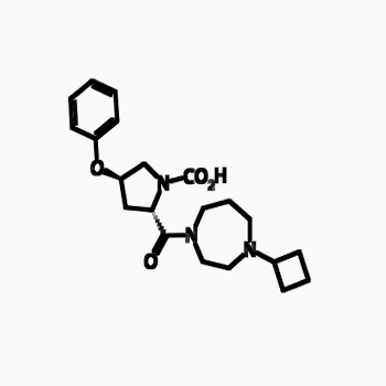 O=C([C@@H]1C[C@@H](Oc2ccccc2)CN1C(=O)O)N1CCCN(C2CCC2)CC1